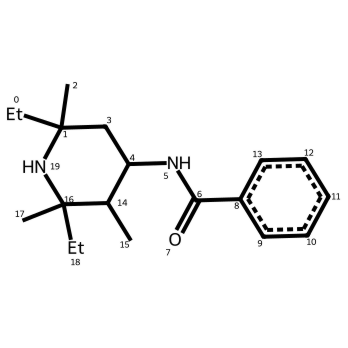 CCC1(C)CC(NC(=O)c2ccccc2)C(C)C(C)(CC)N1